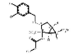 CCOC(=O)[C@@]1(F)[C@@H]2C[C@@H](NCc3ccc(Cl)c(Cl)c3)[C@@](NC(=O)OC(C)(C)C)(C(=O)OCC)[C@@H]21